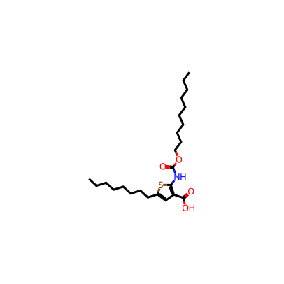 CCCCCCCCCCOC(=O)Nc1sc(CCCCCCCC)cc1C(=O)O